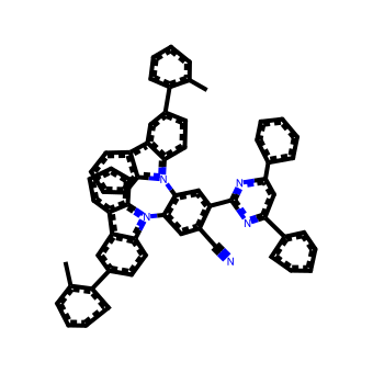 Cc1ccccc1-c1ccc2c(c1)c1ccccc1n2-c1cc(C#N)c(-c2nc(-c3ccccc3)cc(-c3ccccc3)n2)cc1-n1c2ccccc2c2cc(-c3ccccc3C)ccc21